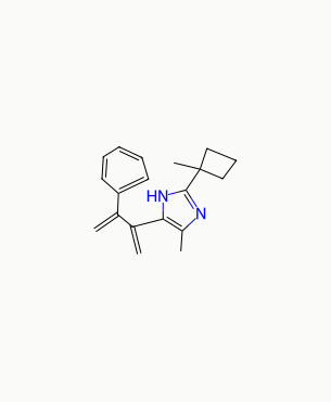 C=C(C(=C)c1[nH]c(C2(C)CCC2)nc1C)c1ccccc1